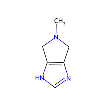 CN1Cc2nc[nH]c2C1